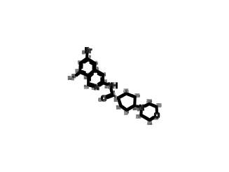 O=C(Nc1cc2cc(Br)cc(F)c2cn1)[C@H]1CC[C@H](N2CCOCC2)CC1